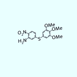 COc1cc(Sc2ccc([N+](=O)[O-])c(N)c2)cc(OC)c1OC